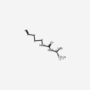 C=CCCCNC(=O)N[C@H](C(=O)O)C(C)C